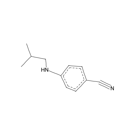 CC(C)CNc1ccc(C#N)cc1